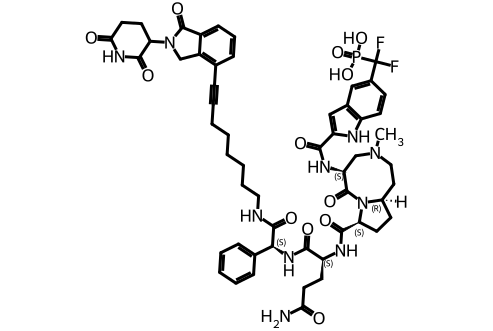 CN1CC[C@H]2CC[C@@H](C(=O)N[C@@H](CCC(N)=O)C(=O)N[C@H](C(=O)NCCCCCCC#Cc3cccc4c3CN(C3CCC(=O)NC3=O)C4=O)c3ccccc3)N2C(=O)[C@@H](NC(=O)c2cc3cc(C(F)(F)P(=O)(O)O)ccc3[nH]2)C1